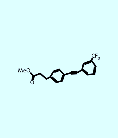 COC(=O)CCc1ccc(C#Cc2cccc(C(F)(F)F)c2)cc1